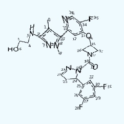 Cc1c(NCCO)nn(C)c1-c1cc(OC2CN(C(=O)N3N=CCC3c3cc(F)cc(F)c3)C2)c(F)cn1